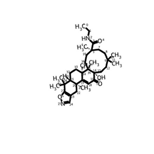 CCNC(=O)[C@@]1(C)CCC(C)(C)CC[C@@]2(O)C(=O)C=C3[C@@]4(C)Cc5cnoc5C(C)(C)[C@@H]4CC[C@@]3(C)[C@]2(C)CC1